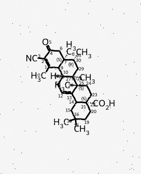 CC1=C(C#N)C(=O)C[C@]2(C)C1[C@H]1CC=C3C4CC(C)(C)CC[C@]4(C(=O)O)CC[C@@]3(C)[C@]1(C)C[C@H]2C